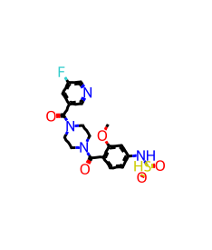 COc1cc(N[SH](=O)=O)ccc1C(=O)N1CCN(C(=O)c2cncc(F)c2)CC1